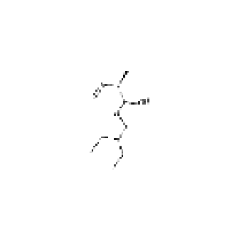 C=N[C@@H](C)C(O)OCC(CC)CC